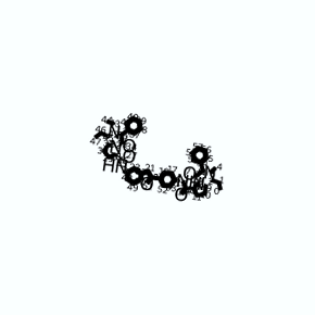 CCCN(C)[C@@H](C(=O)N1CCC[C@H]1C(=O)Nc1ccc(-c2cc3cc(NC(=O)[C@@H]4CCCN4C(=O)[C@@H](c4ccccc4)N(CC)CCC)ccc3o2)cc1)c1ccccc1